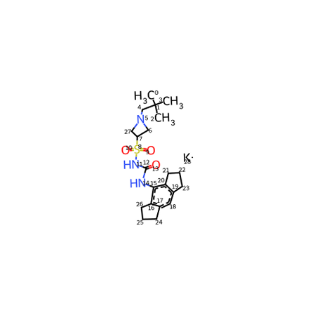 CC(C)(C)CN1CC(S(=O)(=O)NC(=O)Nc2c3c(cc4c2CCC4)CCC3)C1.[K]